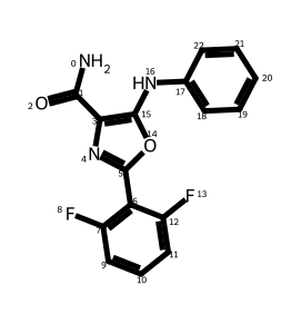 NC(=O)c1nc(-c2c(F)cccc2F)oc1Nc1ccccc1